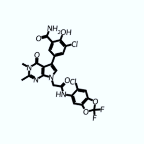 Cc1nc2c(c(-c3cc(Cl)c(O)c(C(N)=O)c3)cn2CC(=O)Nc2cc3c(cc2Cl)OC(F)(F)O3)c(=O)n1C